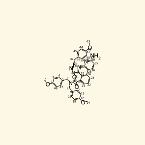 COc1ccc(CN(Cc2ccc(OC)cc2)S(=O)(=O)c2cccc(-c3ccc(N)nc3)c2-c2nnn(Cc3ccc(OC)cc3)n2)cc1